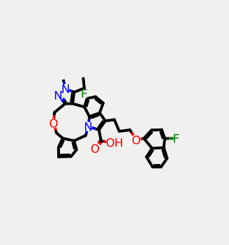 CCc1c2c(nn1C)COCc1ccccc1Cn1c(C(=O)O)c(CCCOc3ccc(F)c4ccccc34)c3ccc(F)c-2c31